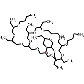 CCC(COCC(COCC(COCC(CC)OCC(CC)OCCCN)OCC(CC)OCC(CC)OCCCN)OCC(CC)OCC(CC)OCCCN)OCC(CC)OCCCN